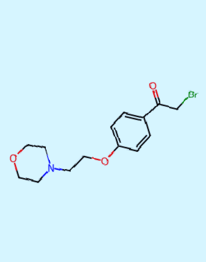 O=C(CBr)c1ccc(OCCN2CCOCC2)cc1